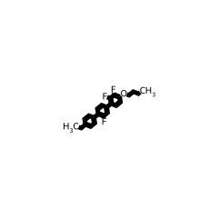 CCCCOc1ccc(-c2ccc(-c3ccc(CC)cc3)c(F)c2)c(F)c1F